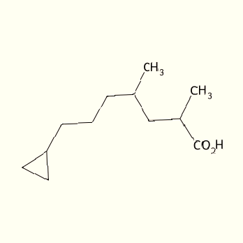 CC(CCCC1CC1)CC(C)C(=O)O